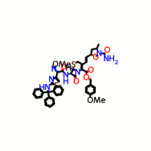 CO/N=C(\C(=O)N[C@@H]1C(=O)N2C(C(=O)OCc3ccc(OC)cc3)=C(/C=C/C3CC(C)N(C(N)=O)O3)CS[C@@H]12)c1csc(NC(c2ccccc2)(c2ccccc2)c2ccccc2)n1